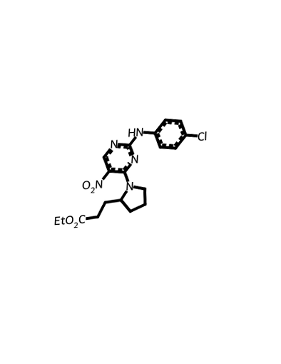 CCOC(=O)CCC1CCCN1c1nc(Nc2ccc(Cl)cc2)ncc1[N+](=O)[O-]